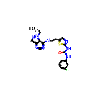 O=C(O)Cn1ncc2ncnc(NCCc3cnc(NC(=O)Nc4cccc(Cl)c4)s3)c21